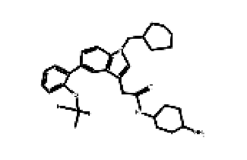 NC1CCC(NC(=O)Cc2cn(CC3CCCCC3)c3ccc(-c4ccccc4OC(F)(F)F)cc23)CC1